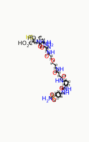 N[C@H](CNC(=O)CCOCCCNC(=O)CCC(=O)Nc1cccc(NC(=O)Nc2ccc(S(N)(=O)=O)cc2)c1)C(=O)N[C@@H](CC(=O)O)C(=O)NC[C@H](CS)C(=O)O